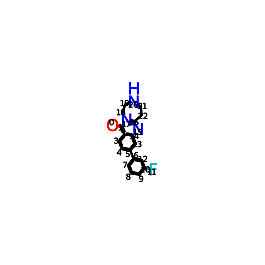 O=c1c2ccc(-c3cccc(F)c3)cc2nc2n1CCNCC2